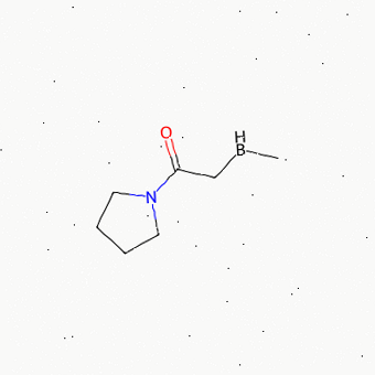 CBCC(=O)N1CCCC1